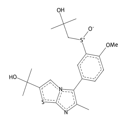 COc1ccc(-c2c(C)nc3sc(C(C)(C)O)cn23)cc1[S+]([O-])CC(C)(C)O